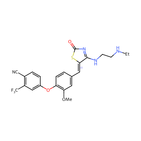 CCNCCNC1=NC(=O)S/C1=C\c1ccc(Oc2ccc(C#N)c(C(F)(F)F)c2)c(OC)c1